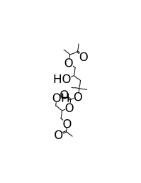 CC(=O)OCC(CO)OC(=O)OC(C)(C)CC(O)COC(C)C(C)=O